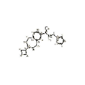 O=C(NCc1cccs1)c1ccc2c(c1)CCN(C1CCC1)CC2